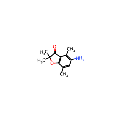 Cc1cc(N)c(C)c2c1OC(C)(C)C2=O